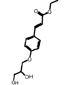 CCOC(=O)C=Cc1ccc(OCC(O)CO)cc1